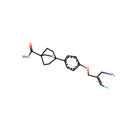 COC(=O)C12CCC(c3ccc(OC/C(=C/F)CN)cc3)(CC1)CC2